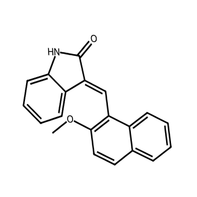 COc1ccc2ccccc2c1C=C1C(=O)Nc2ccccc21